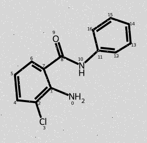 Nc1c(Cl)cccc1C(=O)Nc1ccccc1